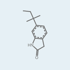 CCC(C)(C)c1ccc2c(c1)NC(=O)C2